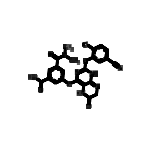 CN(C)C(=O)c1cc(OC2=C3NC(=O)CN=C3NC(Oc3cc(C#N)ccc3Cl)=N2)cc(C(=O)O)c1